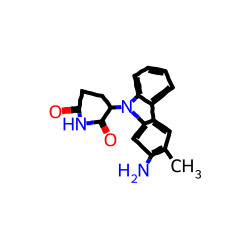 Cc1cc2c3ccccc3n(C3CCC(=O)NC3=O)c2cc1N